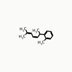 CC(C)=C/C=C\C(C)c1ccccc1C